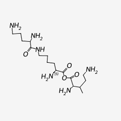 CC(CCN)C(N)C(=O)OC(=O)[C@@H](N)CCCCNC(=O)C(N)CCCN